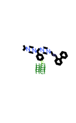 CC(C)N1CCN(C(CN2CCN(C/C=C/c3ccccc3-c3ccccc3)CC2)c2ccc(F)cc2)CC1.Cl.Cl.Cl.Cl